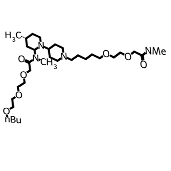 CCCCOCCOCCOCC(=O)N(C)C1C[C@H](C)CCN1C1CCN(CCCCCOCCOCC(=O)NC)CC1